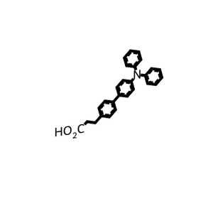 O=C(O)CCc1ccc(-c2ccc(N(c3ccccc3)c3ccccc3)cc2)cc1